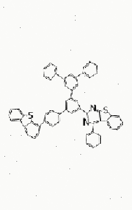 c1ccc(-c2cc(-c3ccccc3)cc(-c3cc(-c4ccc(-c5cccc6c5sc5ccccc56)cc4)cc(-c4nc(-c5ccccc5)c5c(n4)sc4ccccc45)c3)c2)cc1